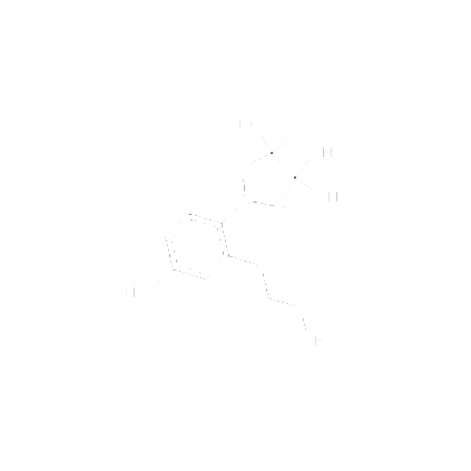 COCOc1cc(C)ccc1B1OC(C)(C)C(C)(C)O1